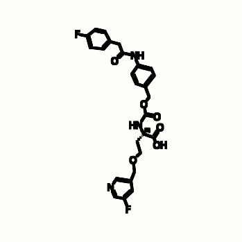 O=C(Cc1ccc(F)cc1)Nc1ccc(COC(=O)N[C@@H](CCOCc2cncc(F)c2)C(=O)O)cc1